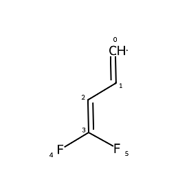 [CH]=CC=C(F)F